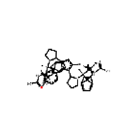 C[C@](C(=O)NC(=O)O)(N1CCCC1c1cc(Br)c(C2CCCN2[C@](C)(C(=O)NC(=O)O)C2(CC(N)=O)C3=CC=C2C=C3)n1-c1ccc(F)cc1)C1(CC(N)=O)C2=CC=C1C=C2